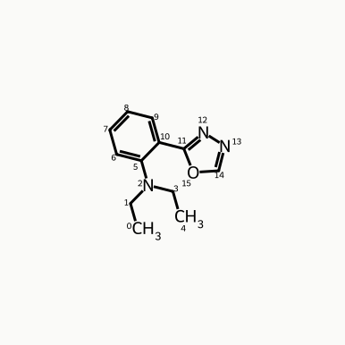 CCN(CC)c1ccccc1-c1nnco1